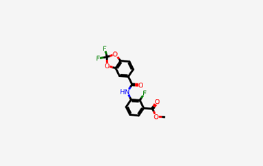 COC(=O)c1cccc(NC(=O)c2ccc3c(c2)OC(F)(F)O3)c1F